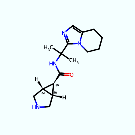 CC(C)(NC(=O)[C@H]1[C@@H]2CNC[C@@H]21)c1ncc2n1CCCC2